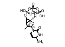 C[C@H]1C2C(OP(=O)(O)OP(=O)(O)OP(=O)(O)O)[C@H]2O[C@H]1N1C=CC(N)NC1=O